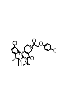 C[C@H](Nc1nc2c(c(=O)n1N(C)C)CN(C(=O)COc1ccc(Cl)cc1)CC2)c1ccc(Cl)cc1